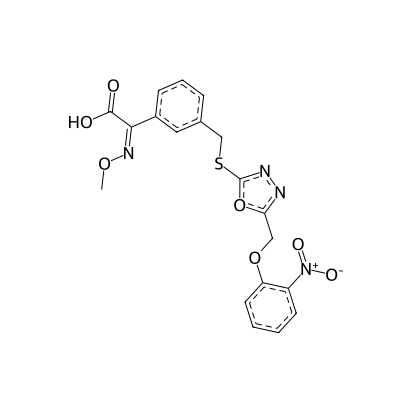 CON=C(C(=O)O)c1cccc(CSc2nnc(COc3ccccc3[N+](=O)[O-])o2)c1